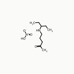 CCC(CC)NCCCC(C)=O.O=[N+]([O-])O